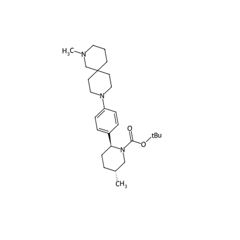 C[C@@H]1CC[C@@H](c2ccc(N3CCC4(CCCN(C)C4)CC3)cc2)N(C(=O)OC(C)(C)C)C1